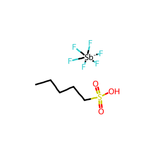 CCCCCS(=O)(=O)O.[F][Sb-]([F])([F])([F])([F])[F]